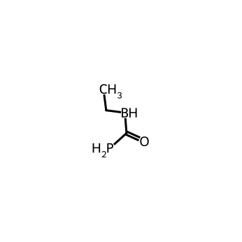 CCBC(=O)P